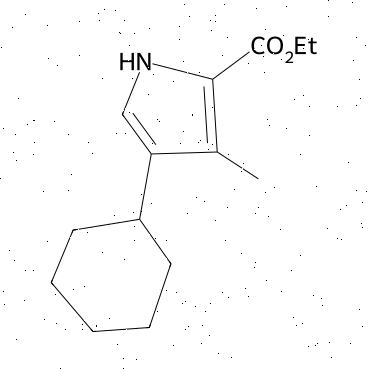 CCOC(=O)c1[nH]cc(C2CCCCC2)c1C